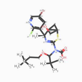 CC(C)(C)C(OCC[Si](C)(C)C)N(C(=O)O)C1=N[C@](C)(c2cc(Br)cnc2F)C2CC2(CO)S1